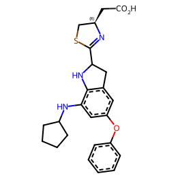 O=C(O)C[C@@H]1CSC(C2Cc3cc(Oc4ccccc4)cc(NC4CCCC4)c3N2)=N1